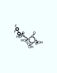 O=CCN1CCN(CC(=O)O)CCN(CC(=O)O)CCN(C(CCCNC(=O)c2cc(-c3ccc(F)cc3F)ccc2O)C(=O)O)CC1